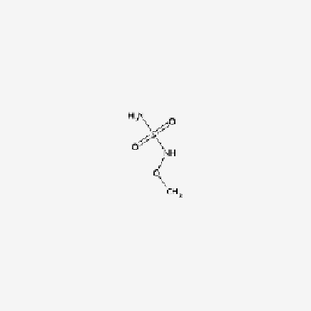 CONS(N)(=O)=O